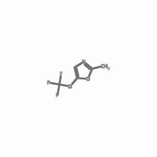 Cc1ncc(OC(F)(F)F)o1